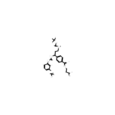 CN(CCC(NC(=O)Nc1cccc(SC(F)(F)F)c1)c1ccc(C(=O)NCCC(=O)O)cc1)C(=O)OC(C)(C)C